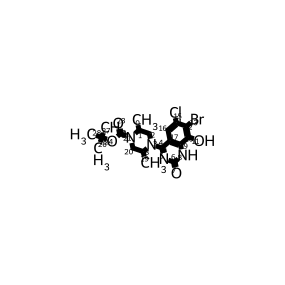 CC1CN(c2nc(=O)[nH]c3c(O)c(Br)c(Cl)cc23)C(C)CN1C(=O)OC(C)(C)C